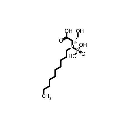 CCCCCCCCCCN([C@@H](CO)C(=O)O)P(=O)(O)O